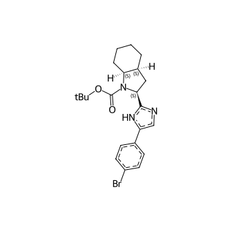 CC(C)(C)OC(=O)N1[C@H](c2ncc(-c3ccc(Br)cc3)[nH]2)C[C@@H]2CCCC[C@@H]21